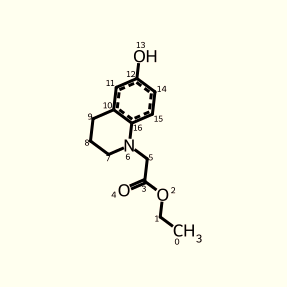 CCOC(=O)CN1CCCc2cc(O)ccc21